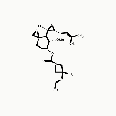 CO[C@@H]1[C@H](OC(=O)N2CC(C)(OCC(=O)O)C2)CC[C@]2(CO2)[C@H]1[C@@]1(C)O[C@@H]1CC=C(C)C